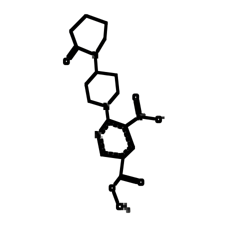 COC(=O)c1cnc(N2CCC(N3CCCCC3=O)CC2)c([N+](=O)[O-])c1